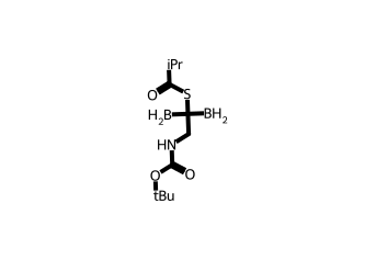 BC(B)(CNC(=O)OC(C)(C)C)SC(=O)C(C)C